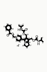 CC(C)NC(=O)OCc1c(COC(=O)NC(C)C)c(-c2cc[n+](COC(=O)c3ccccc3)cc2)n2c1CCC2.[I-]